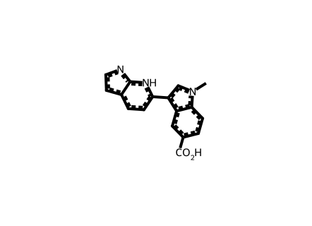 Cn1cc(-c2ccc3ccnc-3[nH]2)c2cc(C(=O)O)ccc21